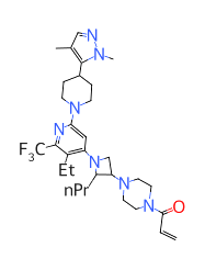 C=CC(=O)N1CCN(C2CN(c3cc(N4CCC(c5c(C)cnn5C)CC4)nc(C(F)(F)F)c3CC)C2CCC)CC1